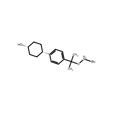 CC(C)(C)[SiH2]OC(C)(C)c1ccc([C@H]2CC[C@@H](O)CC2)cc1